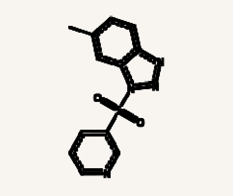 Cc1ccc2nnn(S(=O)(=O)c3cccnc3)c2c1